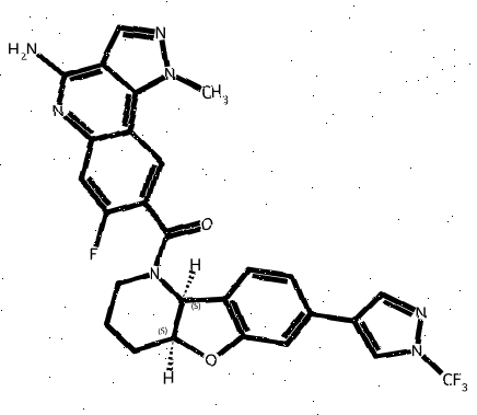 Cn1ncc2c(N)nc3cc(F)c(C(=O)N4CCC[C@@H]5Oc6cc(-c7cnn(C(F)(F)F)c7)ccc6[C@@H]54)cc3c21